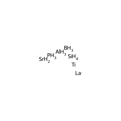 B.P.[AlH3].[La].[SiH4].[SrH2].[Ti]